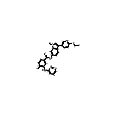 CCOc1ccc(-c2cn(C)c3cc(NC(=O)c4ccc(C)c(Nc5cccnn5)c4)ccc23)cn1